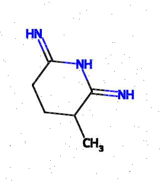 CC1CCC(=N)NC1=N